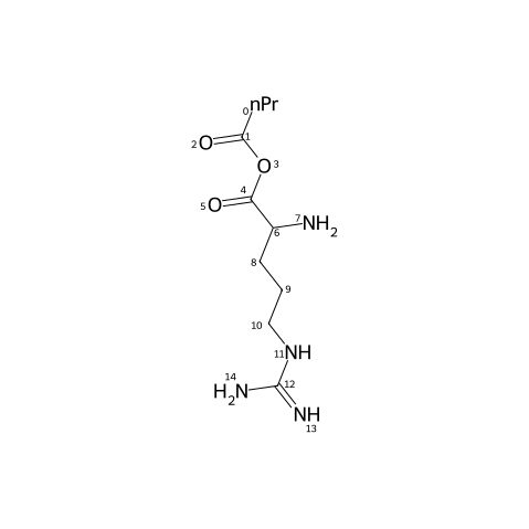 CCCC(=O)OC(=O)C(N)CCCNC(=N)N